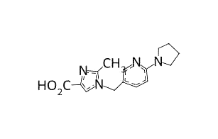 Cc1nc(C(=O)O)cn1Cc1ccc(N2CCCC2)nc1